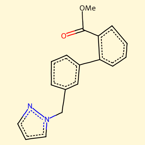 COC(=O)c1ccccc1-c1cccc(Cn2cccn2)c1